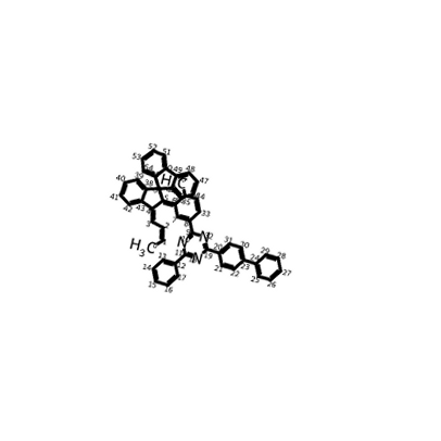 C\C=C/C=C1\C(=C2/C=C(c3nc(-c4ccccc4)nc(-c4ccc(-c5ccccc5)cc4)n3)C=CC2C)C2(c3ccccc31)c1ccccc1-c1ccccc12